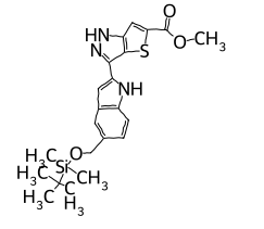 COC(=O)c1cc2[nH]nc(-c3cc4cc(CO[Si](C)(C)C(C)(C)C)ccc4[nH]3)c2s1